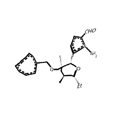 CC[C@H]1O[C@@H](c2ccc(C=O)n2N)[C@](C)(OCc2ccccc2)[C@@H]1C